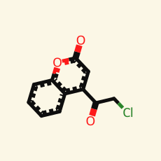 O=C(CCl)c1cc(=O)oc2ccccc12